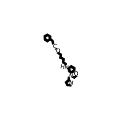 C1=NC(CN2CCOc3ccc(NCCCCCCOCCCCc4ccccc4)cc32)=CC1